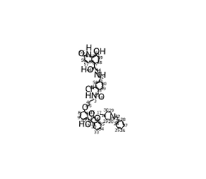 O=C(NCCCOc1cccc(C(O)(C(=O)OCC2CCN(Cc3ccccc3)CC2)c2ccccc2)c1)c1ccc(CNC[C@H](O)c2ccc(O)c3[nH]c(=O)ccc23)cc1Cl